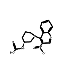 O=C(O)N[C@H]1CCCN(c2c([N+](=O)[O-])cnc3ccccc23)C1